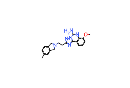 COc1cccc2c1nc(N)n1nc(CCN3Cc4ccc(C)cc4C3)nc21